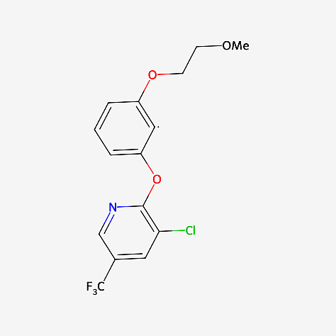 COCCOc1[c]c(Oc2ncc(C(F)(F)F)cc2Cl)ccc1